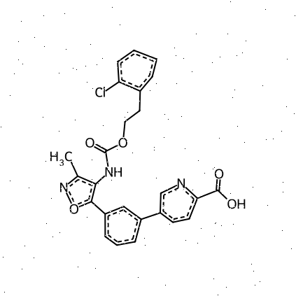 Cc1noc(-c2cccc(-c3ccc(C(=O)O)nc3)c2)c1NC(=O)OCCc1ccccc1Cl